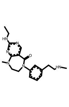 CCNc1ncc2c(n1)N(C)CCN(c1cccc(CCNC)c1)C2=O